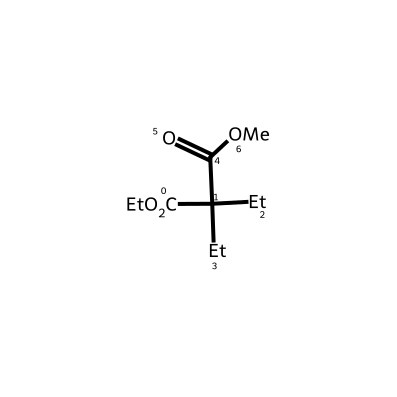 CCOC(=O)C(CC)(CC)C(=O)OC